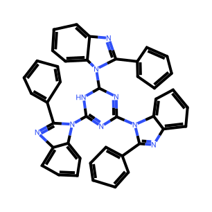 c1ccc(-c2nc3ccccc3n2C2=NC(n3c(-c4ccccc4)nc4ccccc43)NC(n3c(-c4ccccc4)nc4ccccc43)=N2)cc1